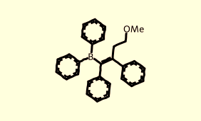 COCC/C(=C(\B(c1ccccc1)c1ccccc1)c1ccccc1)c1ccccc1